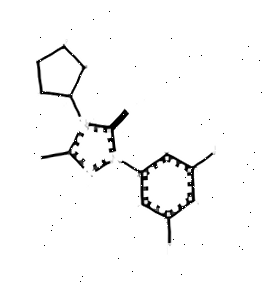 Cc1nn(-c2cc(F)cc(F)c2)c(=O)n1C1CCCC1